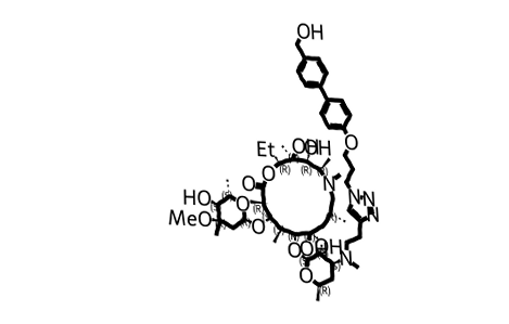 CC[C@H]1OC(=O)[C@H](C)[C@@H](O[C@H]2C[C@@](C)(OC)[C@@H](O)[C@H](C)O2)[C@H](C)[C@@H](O[C@@H]2O[C@H](C)C[C@H](N(C)CCc3cn(CCCOc4ccc(-c5ccc(CO)cc5)cc4)nn3)[C@H]2O)[C@](C)(O)C[C@@H](C)CN(C)[C@H](C)[C@@H](O)[C@]1(C)O